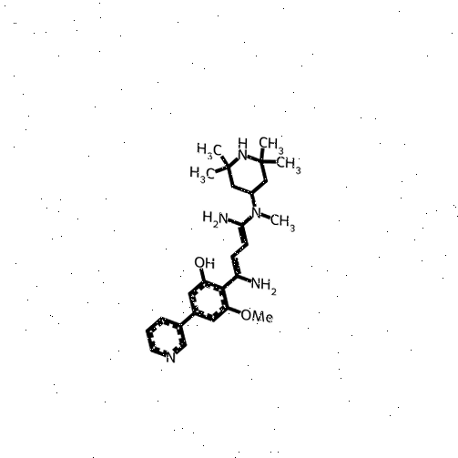 COc1cc(-c2cccnc2)cc(O)c1/C(N)=C/C=C(\N)N(C)C1CC(C)(C)NC(C)(C)C1